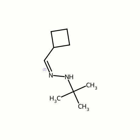 CC(C)(C)N/N=C\C1CCC1